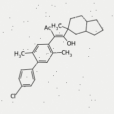 CC(=O)/C(=C(/O)C1(C)CCC2CCCC2C1)c1cc(C)c(-c2ccc(Cl)cc2)cc1C